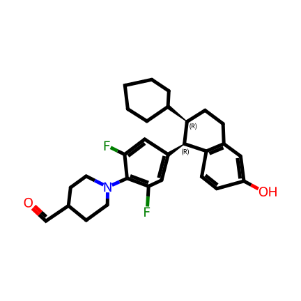 O=CC1CCN(c2c(F)cc([C@@H]3c4ccc(O)cc4CC[C@@H]3C3CCCCC3)cc2F)CC1